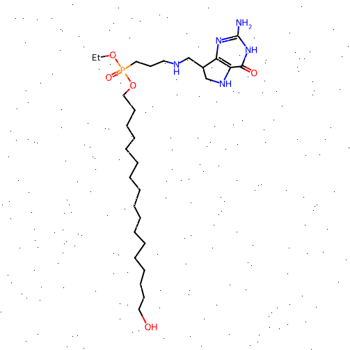 CCOP(=O)(CCCNCC1CNc2c1nc(N)[nH]c2=O)OCCCCCCCCCCCCCCCCCO